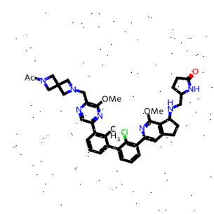 COc1nc(-c2cccc(-c3cccc(-c4cc5c(c(OC)n4)C(NCC4CCC(=O)N4)CC5)c3Cl)c2C)cnc1CN1CC2(C1)CN(C(C)=O)C2